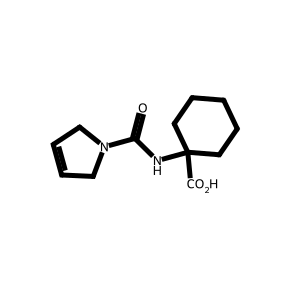 O=C(NC1(C(=O)O)CCCCC1)N1CC=CC1